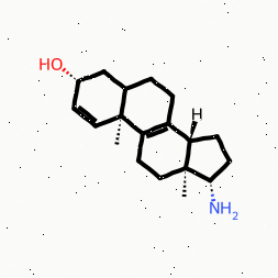 C[C@]12CCC3=C(CCC4C[C@@H](O)C=C[C@]34C)[C@@H]1CC[C@@H]2N